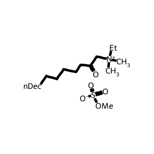 CCCCCCCCCCCCCCCC(=O)C[N+](C)(C)CC.COS(=O)(=O)[O-]